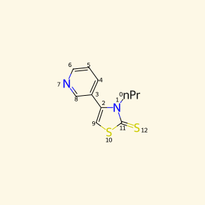 CCCn1c(-c2cccnc2)csc1=S